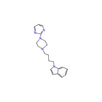 c1cnc(N2CCN(CCCCn3ccc4ccccc43)CC2)nc1